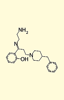 NCC/N=C(\CCN1CCC(Cc2ccccc2)CC1)c1ccccc1O